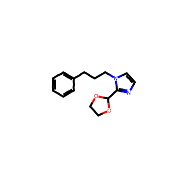 c1ccc(CCCn2ccnc2C2OCCO2)cc1